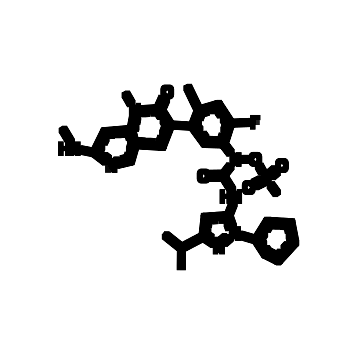 CNc1cc2c(cn1)cc(-c1cc(N(OS(C)(=O)=O)C(=O)Nc3cc(C(C)C)nn3-c3ccccc3)c(F)cc1C)c(=O)n2C